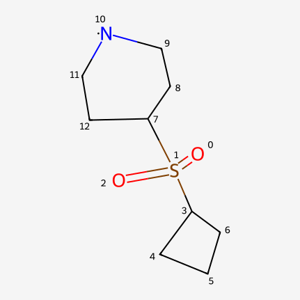 O=S(=O)(C1CCC1)C1CC[N]CC1